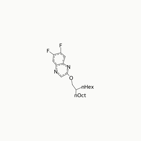 CCCCCCCCC(CCCCCC)COc1cnc2cc(F)c(F)cc2n1